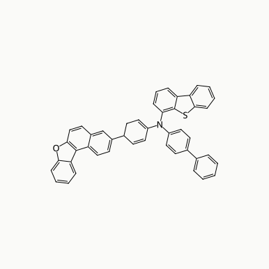 C1=CC(c2ccc3c(ccc4oc5ccccc5c43)c2)CC=C1N(c1ccc(-c2ccccc2)cc1)c1cccc2c1sc1ccccc12